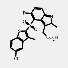 Cc1c(S(=O)(=O)c2c(F)ccc3c2=C(CC(=O)O)C(C)N=3)sc2ccc(Cl)cc12